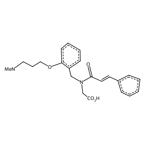 CNCCCOc1ccccc1CN(CC(=O)O)C(=O)C=Cc1ccccc1